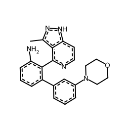 Cc1n[nH]c2ccnc(-c3c(N)cccc3-c3cccc(N4CCOCC4)c3)c12